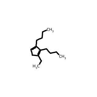 CCCCC1=CCC(CC)=C1CCCC